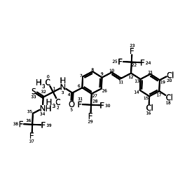 CC(C)(NC(=O)c1ccc(/C=C/C(c2cc(Cl)c(Cl)c(Cl)c2)C(F)(F)F)cc1C(F)(F)F)C(=S)NCC(F)(F)F